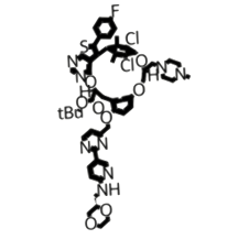 Cc1c(Cl)c2c(Cl)c(C)c1-c1c(-c3ccc(F)cc3)sc3ncnc(c13)O[C@@H](C(=O)OC(C)(C)C)Cc1cc(ccc1OCc1ccnc(-c3ccc(NC[C@H]4COCCO4)nc3)n1)OC[C@@H](CN1CCN(C)CC1)O2